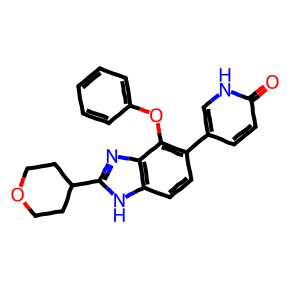 O=c1ccc(-c2ccc3[nH]c(C4CCOCC4)nc3c2Oc2ccccc2)c[nH]1